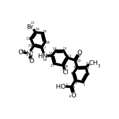 Cc1ccc(C(=O)O)cc1C(=O)c1ccc(Nc2ccc(Br)cc2[N+](=O)[O-])cc1Cl